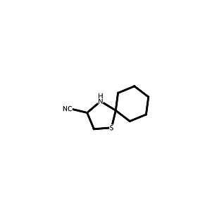 N#CC1CSC2(CCCCC2)N1